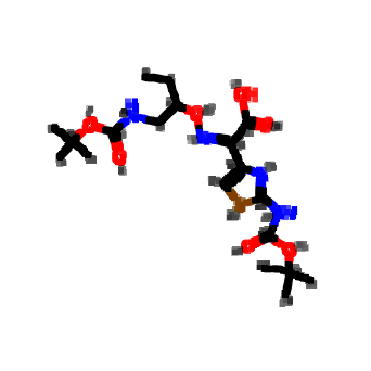 CCC(CNC(=O)OC(C)(C)C)ON=C(C(=O)O)c1csc(NC(=O)OC(C)(C)C)n1